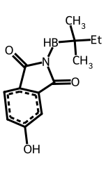 CCC(C)(C)BN1C(=O)c2ccc(O)cc2C1=O